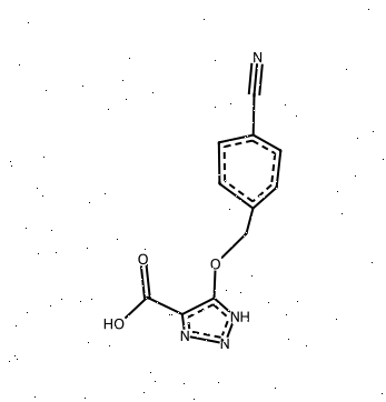 N#Cc1ccc(COc2[nH]nnc2C(=O)O)cc1